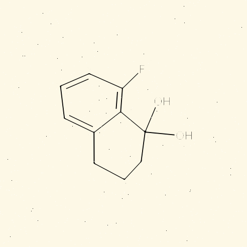 OC1(O)CCCc2cccc(F)c21